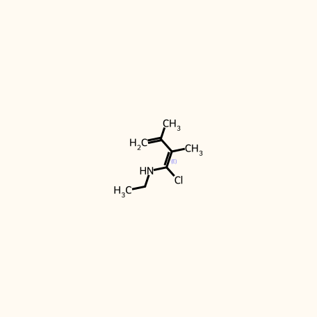 C=C(C)/C(C)=C(/Cl)NCC